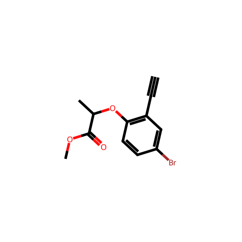 C#Cc1cc(Br)ccc1OC(C)C(=O)OC